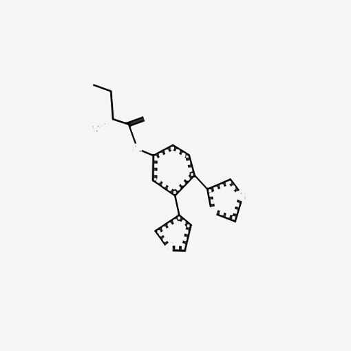 CC(C)C[C@@H](N)C(=O)Nc1ccc(-c2cnco2)c(-c2ccsc2)c1